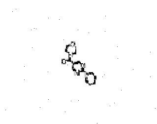 O=C(c1cnc(N2CCCCC2)nc1)N1CCOCC1